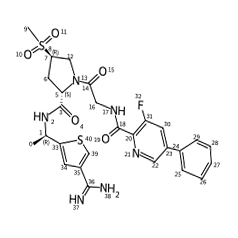 C[C@@H](NC(=O)[C@@H]1C[C@@H](S(C)(=O)=O)CN1C(=O)CNC(=O)c1ncc(-c2ccccc2)cc1F)c1cc(C(=N)N)cs1